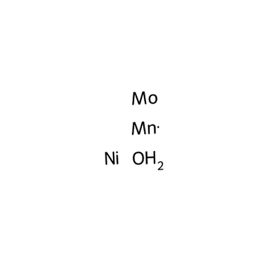 O.[Mn].[Mo].[Ni]